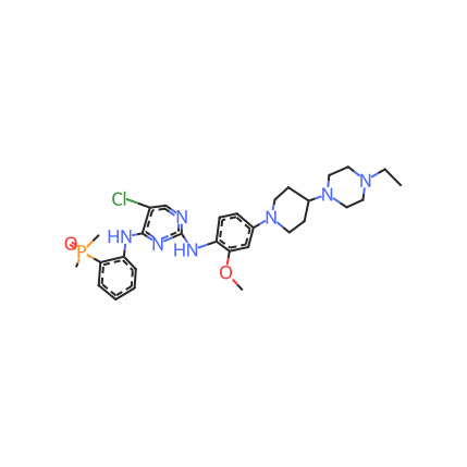 CCN1CCN(C2CCN(c3ccc(Nc4ncc(Cl)c(Nc5ccccc5P(C)(C)=O)n4)c(OC)c3)CC2)CC1